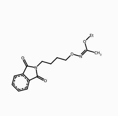 CCOC(C)=NOCCCCN1C(=O)c2ccccc2C1=O